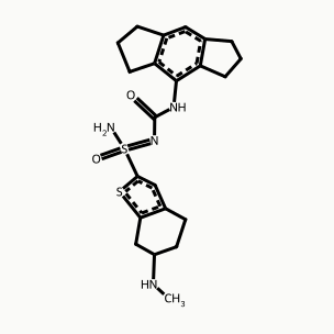 CNC1CCc2cc(S(N)(=O)=NC(=O)Nc3c4c(cc5c3CCC5)CCC4)sc2C1